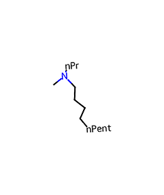 CCCCCCCCCN(C)CCC